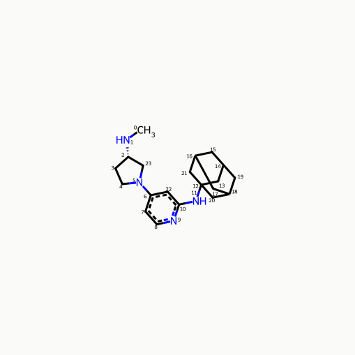 CN[C@H]1CCN(c2ccnc(NC34CC5CC(CC(C5)C3)C4)c2)C1